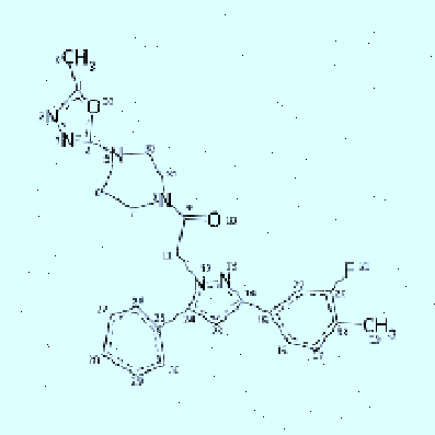 Cc1nnc(N2CCN(C(=O)Cn3nc(-c4ccc(C)c(F)c4)cc3-c3ccccc3)CC2)o1